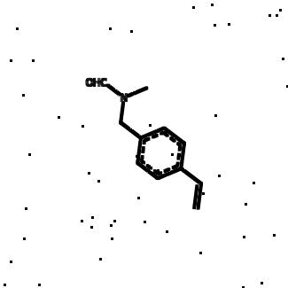 C=Cc1ccc(CN(C)C=O)cc1